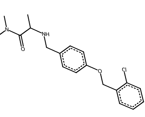 CC(NCc1ccc(OCc2ccccc2Cl)cc1)C(=O)N(C)C